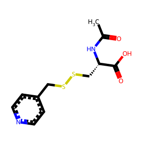 CC(=O)N[C@@H](CSSCc1ccncc1)C(=O)O